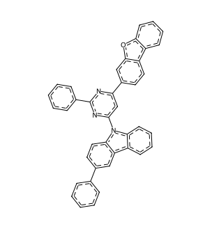 c1ccc(-c2ccc3c(c2)c2ccccc2n3-c2cc(-c3ccc4c(c3)oc3ccccc34)nc(-c3ccccc3)n2)cc1